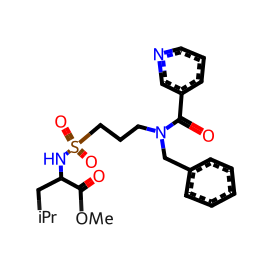 COC(=O)C(CC(C)C)NS(=O)(=O)CCCN(Cc1ccccc1)C(=O)c1cccnc1